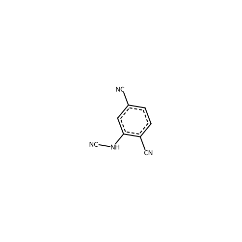 N#CNc1cc(C#N)ccc1C#N